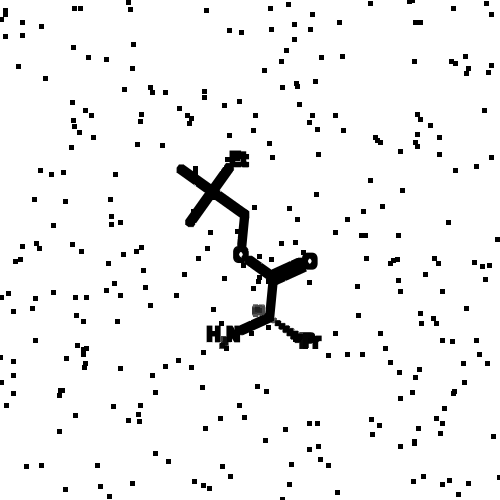 CCC(C)(C)COC(=O)[C@@H](N)C(C)C